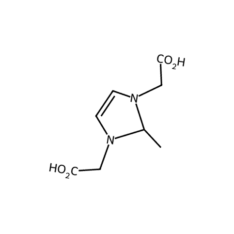 CC1N(CC(=O)O)C=CN1CC(=O)O